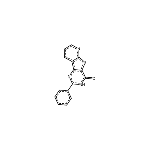 O=c1[nH]c(-c2ccccc2)nc2c1sc1ncccc12